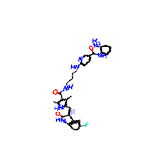 Cc1[nH]c(/C=C2\C(=O)Nc3ccc(F)cc32)c(C)c1C(=O)NCCCCNc1ccc(C(=O)Nc2ccccc2N)cn1